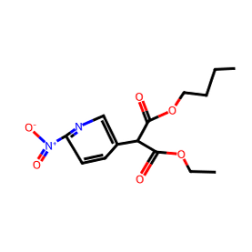 CCCCOC(=O)C(C(=O)OCC)c1ccc([N+](=O)[O-])nc1